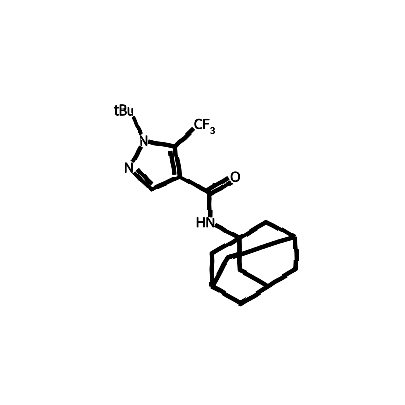 CC(C)(C)n1ncc(C(=O)NC23CC4CC(CC(C4)C2)C3)c1C(F)(F)F